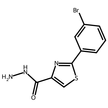 NNC(=O)c1csc(-c2cccc(Br)c2)n1